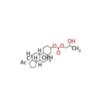 CC(=O)[C@H]1CC[C@H]2[C@@H]3CC[C@H]4C[C@H](OC(=O)OCC(C)O)CC[C@]4(C)[C@H]3CC[C@]12C